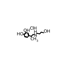 CC(CNCCCCO)c1ccc(O)c(O)c1.Cl